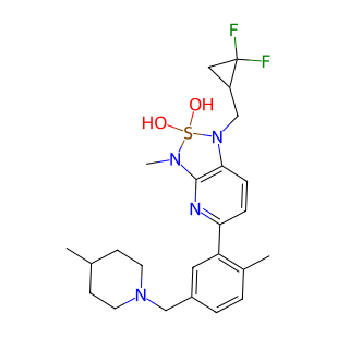 Cc1ccc(CN2CCC(C)CC2)cc1-c1ccc2c(n1)N(C)S(O)(O)N2CC1CC1(F)F